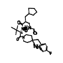 CC(C)(C)[C@H](NC(=O)C(CC1CCCC1)CN(O)C=O)C(=O)N1CCC(N)(Cc2ccc(F)cc2)CC1